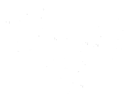 N=S1(=O)CC(c2c(C(=O)NN3CCOc4ccccc43)cnc3c(-c4cc(F)cc(F)c4F)c(F)ccc23)C1